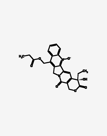 CCC(=O)OCc1c2c([n+]([O-])c3ccccc13)-c1cc3c(c(=O)n1C2)COC(=O)[C@]3(O)CC